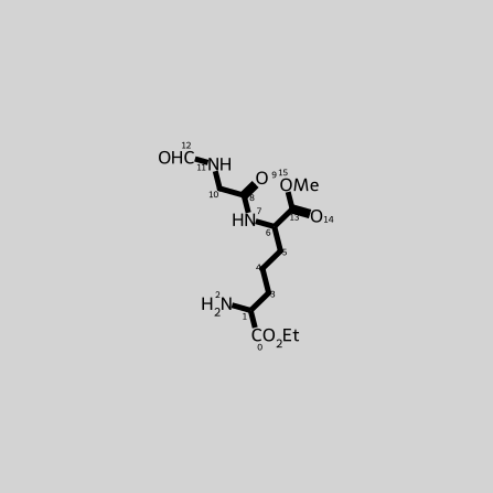 CCOC(=O)C(N)CCCC(NC(=O)CNC=O)C(=O)OC